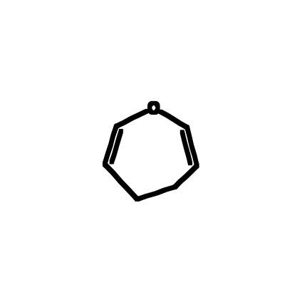 C1=COC=CCC1